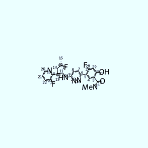 CNC(=O)c1cc(-c2ccc(NC[C@](C)(C[C@H](C)F)c3ncccc3F)nn2)c(F)cc1O